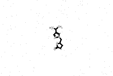 CC(C)c1cnn(CC2CCC(=O)O2)c1